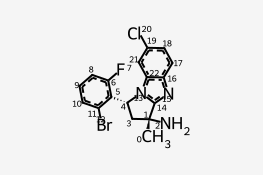 C[C@@]1(N)C[C@H](c2c(F)cccc2Br)n2c1nc1ccc(Cl)cc12